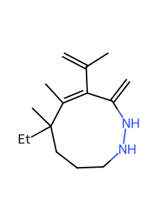 C=C(C)/C1=C(\C)C(C)(CC)CCCNNC1=C